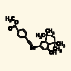 COC(=O)c1ccc(C#C[Se]c2cc(O)c3c(c2)C(C)(C)CCC3(C)C)cc1